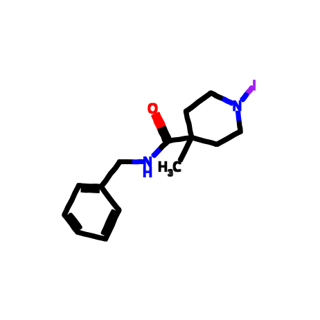 CC1(C(=O)NCc2ccccc2)CCN(I)CC1